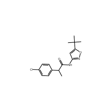 CC(C(=O)Nc1cc(C(C)(C)C)on1)c1ccc(Cl)cc1